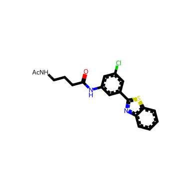 CC(=O)NCCCC(=O)Nc1cc(Cl)cc(-c2nc3ccccc3s2)c1